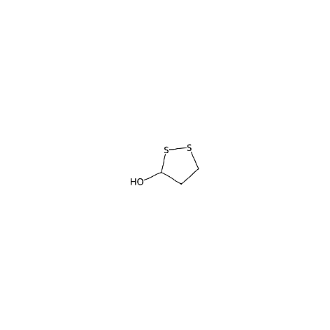 OC1CCSS1